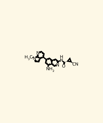 Cn1ccc2c(-c3cc(N)c4cnc(NC(=O)[C@@H]5C[C@H]5C#N)cc4c3)ccnc21